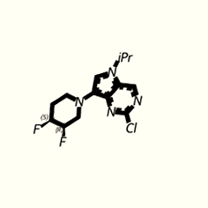 CC(C)n1cc(N2CC[C@H](F)[C@H](F)C2)c2nc(Cl)ncc21